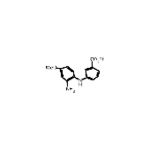 CCOC(=O)c1cccc(Nc2ccc(OC)cc2N)c1